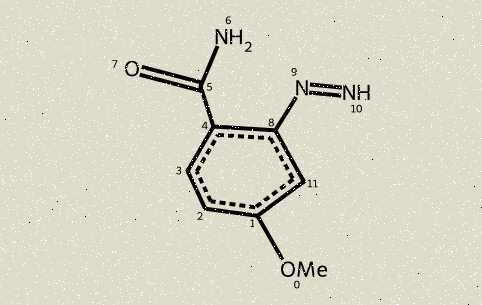 COc1ccc(C(N)=O)c(N=N)c1